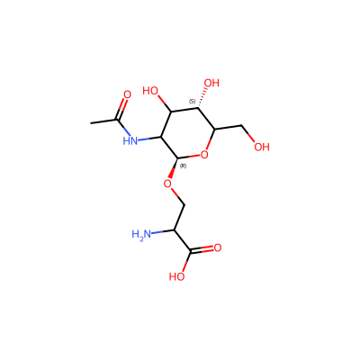 CC(=O)NC1C(O)[C@H](O)C(CO)O[C@H]1OCC(N)C(=O)O